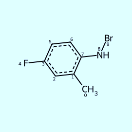 Cc1cc(F)ccc1NBr